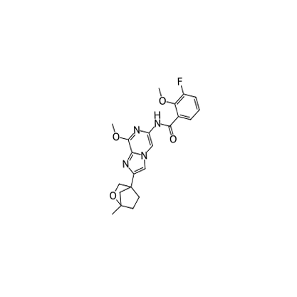 COc1c(F)cccc1C(=O)Nc1cn2cc(C34CCC(C)(C3)OC4)nc2c(OC)n1